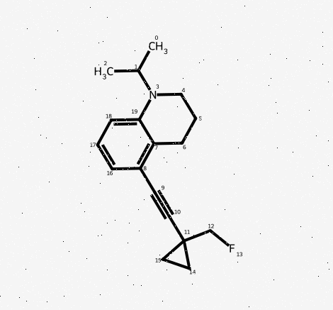 CC(C)N1CCCc2c(C#CC3(CF)CC3)cccc21